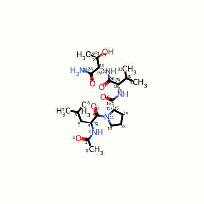 CC(=O)N[C@@H](CC(C)C)C(=O)N1CCC[C@H]1C(=O)N[C@H](C(=O)N[C@H](C(N)=O)[C@@H](C)O)C(C)C